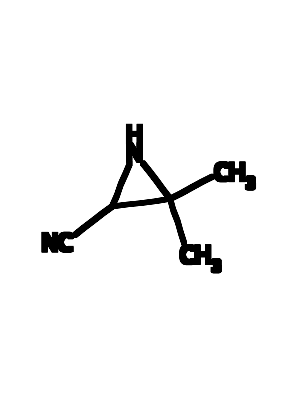 CC1(C)NC1C#N